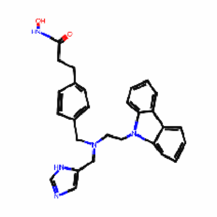 O=C(CCc1ccc(CN(CCn2c3ccccc3c3ccccc32)Cc2cnc[nH]2)cc1)NO